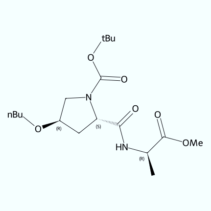 CCCCO[C@@H]1C[C@@H](C(=O)N[C@H](C)C(=O)OC)N(C(=O)OC(C)(C)C)C1